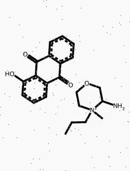 CCC[N+]1(C)CCOCC1N.O=C1c2ccccc2C(=O)c2c(O)cccc21